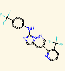 FC(F)(F)c1ccc(Nc2ncc3cc(-c4ncccc4C(F)(F)F)cnn23)cc1